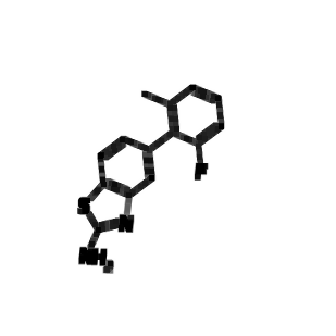 Cc1cccc(F)c1-c1ccc2sc(N)nc2c1